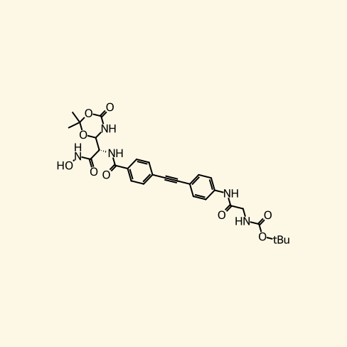 CC(C)(C)OC(=O)NCC(=O)Nc1ccc(C#Cc2ccc(C(=O)N[C@H](C(=O)NO)C3NC(=O)OC(C)(C)O3)cc2)cc1